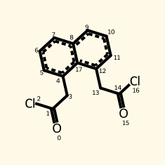 O=C(Cl)Cc1cccc2cccc(CC(=O)Cl)c12